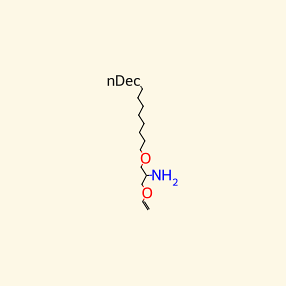 C=COCC(N)COCCCCCCCCCCCCCCCCCC